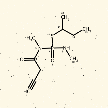 C#CCC(=O)N(C)P(=O)(NC)SC(C)CC